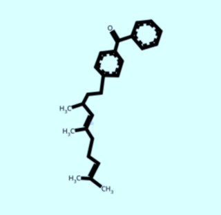 CC(C)=CCC/C(C)=C/C(C)CCc1ccc(C(=O)c2ccccc2)cc1